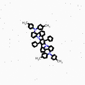 Cc1ccc(N(c2ccc(C)cc2)c2cccc3c2c2cccc4c5c(C6C=CC=CC6)c6c(c(-c7ccccc7)c5n3c24)c2cccc3c4c(N(c5ccc(C)cc5)c5ccc(C)cc5)cccc4n6c32)cc1